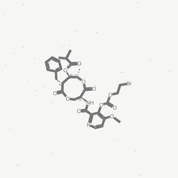 COc1ccnc(C(=O)N[C@H]2COC(=O)[C@H](Cc3ccccc3)[C@@H](OC(=O)C(C)C)[C@H](C)OC2=O)c1OC(=O)OCCBr